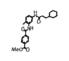 COC(=O)c1ccc(C(=O)Nc2cc(NC(=O)CCC3CCCCC3)ccc2C)cc1